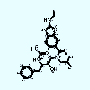 CCNc1nc2ccc(C(=O)N(CC(C)C)C[C@@H](O)C(Cc3ccccc3)NC(=O)O)cc2o1